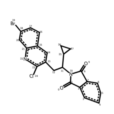 O=C1c2ccccc2C(=O)N1C(Cc1cc2ccc(Br)cc2nc1Cl)C1CC1